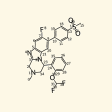 CN1Cc2nc3cc(F)c(-c4ccc(S(C)(=O)=O)cc4)cc3n2C(c2ccccc2OC(F)F)C1